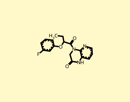 CCC(Oc1cccc(F)c1)C(=O)N1CC(=O)Nc2cccnc21